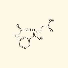 CC(=O)O.CCC(=O)O.O=C(O)c1ccccc1